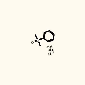 C[Si](C)([O-])c1ccccc1.[AlH3].[Cl-].[Mg+2]